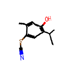 Cc1cc(O)c(C(C)C)cc1SC#N